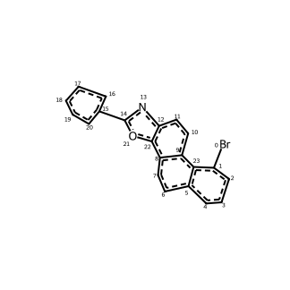 Brc1cccc2ccc3c(ccc4nc(-c5ccccc5)oc43)c12